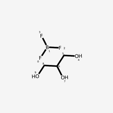 FB(F)F.OCC(O)CO